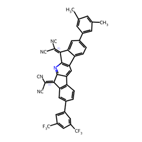 [C-]#[N+]/C(C#N)=C1/c2cc(-c3cc(C(F)(F)F)cc(C(F)(F)F)c3)ccc2-c2cc3c(nc21)/C(=C(\C#N)[N+]#[C-])c1cc(-c2cc(C)cc(C)c2)ccc1-3